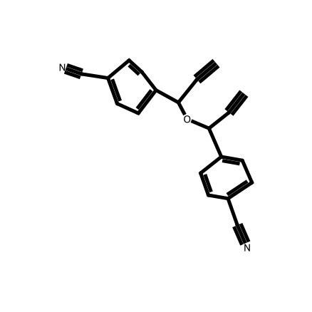 C#CC(OC(C#C)c1ccc(C#N)cc1)c1ccc(C#N)cc1